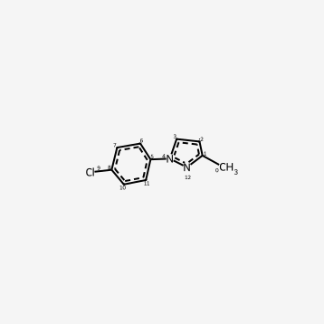 Cc1[c]cn(-c2ccc(Cl)cc2)n1